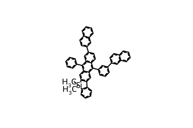 C[Si]1(C)c2ccccc2-c2cc3c(-c4cccc(-c5ccc6ccccc6c5)c4)c4ccc(-c5ccc6ccccc6c5)cc4c(-c4ccccc4)c3cc21